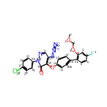 COCOc1cc(F)ccc1-c1ccc(Oc2c(N=[N+]=[N-])cnn(-c3ccc(Cl)cc3)c2=O)cc1